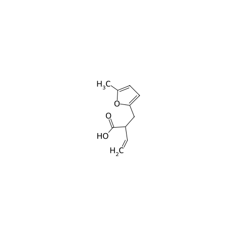 C=CC(Cc1ccc(C)o1)C(=O)O